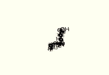 Cc1noc(-c2ccc(-c3ccc(CC4(C(=O)O)CC4)cc3)cc2)c1NC(=O)OCCc1cccc(C(F)(F)F)c1